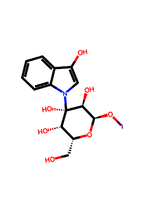 OC[C@H]1O[C@H](OI)[C@H](O)[C@](O)(n2cc(O)c3ccccc32)[C@H]1O